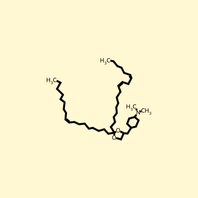 CCCCC/C=C\C/C=C\CCCCCCCCC1(CCCCCCCC/C=C\CCCCCCCC)OCC(CC2CCC(N(C)C)CC2)O1